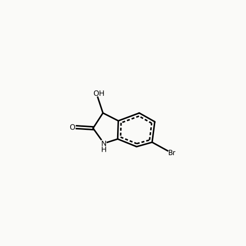 O=C1Nc2cc(Br)ccc2C1O